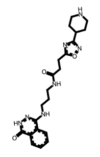 O=C(CCc1nc(C2CCNCC2)no1)NCCCNc1n[nH]c(=O)c2ccccc12